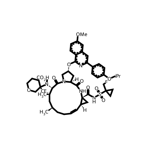 COc1ccc2c(O[C@@H]3C[C@H]4C(=O)N[C@]5(C(=O)NS(=O)(=O)C6(CF)CC6)C[C@H]5/C=C\CC[C@@H](C)C[C@@H](C)[C@H](N(C(=O)O)[C@@]5(C(F)(F)F)CCCOC5)C(=O)N4C3)nc(-c3ccc(OC(C)C)cc3)cc2c1